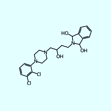 OC(CCN1C(O)c2ccccc2C1O)CN1CCN(c2cccc(Cl)c2Cl)CC1